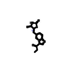 CCC(=O)c1cnc2ccc(/C=C3\SC(=O)NC3=O)cn12